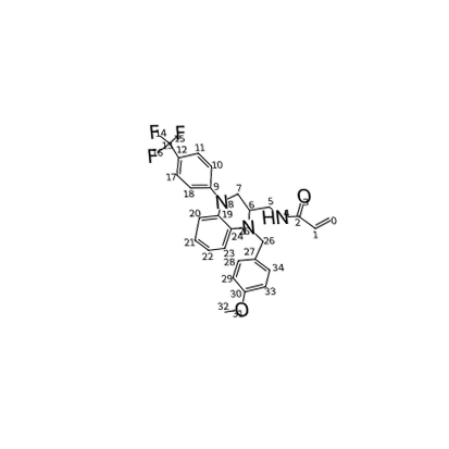 C=CC(=O)NCC1CN(c2ccc(C(F)(F)F)cc2)c2ccccc2N1Cc1ccc(OC)cc1